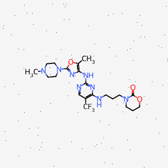 Cc1oc(N2CCN(C)CC2)nc1Nc1ncc(C(F)(F)F)c(NCCCN2CCCOC2=O)n1